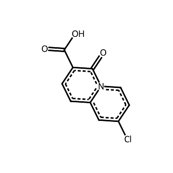 O=C(O)c1ccc2cc(Cl)ccn2c1=O